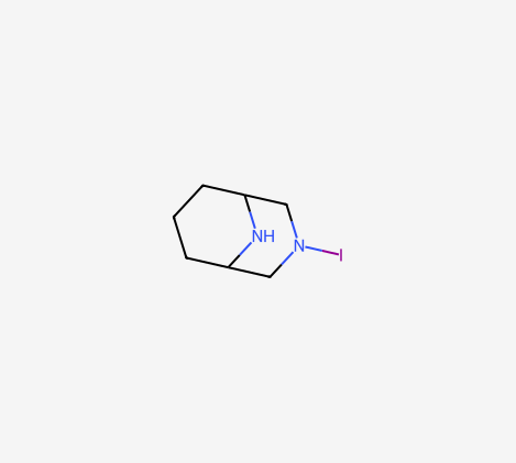 IN1CC2CCCC(C1)N2